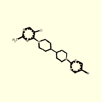 Cc1ncc(Cl)c(N2CCC(C3CCN(c4ncc(F)cn4)CC3)CC2)n1